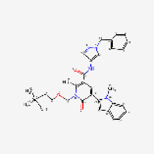 Cc1c(C(=O)Nc2cnn(Cc3ccccc3)c2)cc(-c2cc3ccccc3n2C)c(=O)n1COCC[Si](C)(C)C